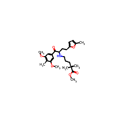 COC(=O)C(C)(C)CCCNC(CCc1ccc(C)o1)C(=O)c1cc(OC)c(C)c(OC)c1